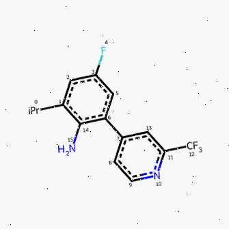 CC(C)c1cc(F)cc(-c2ccnc(C(F)(F)F)c2)c1N